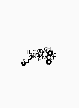 C[C@H](NC(=O)CCCc1cccs1)C(=O)NC1N=C(c2ccccc2Cl)c2cc(Cl)ccc2N(C)C1=O